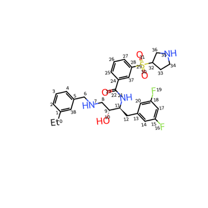 CCc1cccc(CNC[C@@H](O)[C@H](Cc2cc(F)cc(F)c2)NC(=O)c2cccc(S(=O)(=O)C3CCNC3)c2)c1